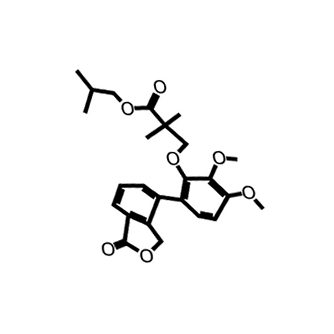 COc1ccc(-c2cccc3c2COC3=O)c(OCC(C)(C)C(=O)OCC(C)C)c1OC